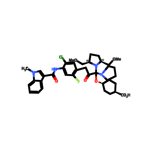 COC[C@H]1CC[C@@H](COC)N1C(O[C@H]1CC[C@H](C(=O)O)CC1)(C(=O)Cc1cc(Cl)c(NC(=O)c2cn(C)c3ccccc23)cc1F)N1CCCC1